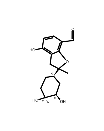 CC1([C@@H]2CC[C@](C)(O)[C@H](O)C2)Cc2c(O)ccc(C=O)c2O1